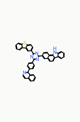 c1ccc2c(-c3ccc(-c4nc(-c5ccc6c(ccc7c8ccccc8[nH]c67)c5)nc(-c5ccc6sc7ccccc7c6c5)n4)cc3)nccc2c1